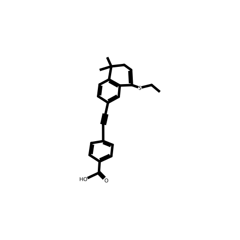 CCSC1=CCC(C)(C)c2ccc(C#Cc3ccc(C(=O)O)cc3)cc21